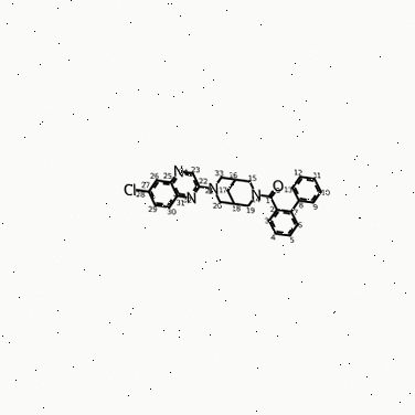 O=C(c1ccccc1-c1ccccc1)N1CC2CC(C1)CN(c1cnc3cc(Cl)ccc3n1)C2